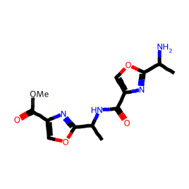 COC(=O)c1coc(C(C)NC(=O)c2coc(C(C)N)n2)n1